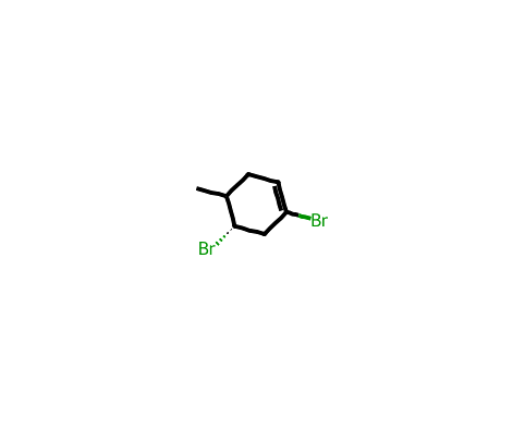 CC1CC=C(Br)C[C@@H]1Br